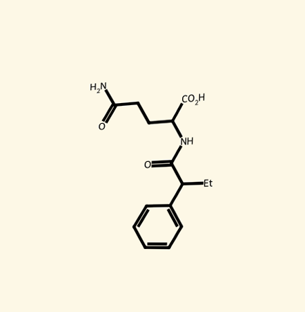 CCC(C(=O)NC(CCC(N)=O)C(=O)O)c1ccccc1